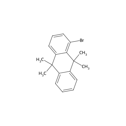 CC1(C)c2ccccc2C(C)(C)c2c(Br)cccc21